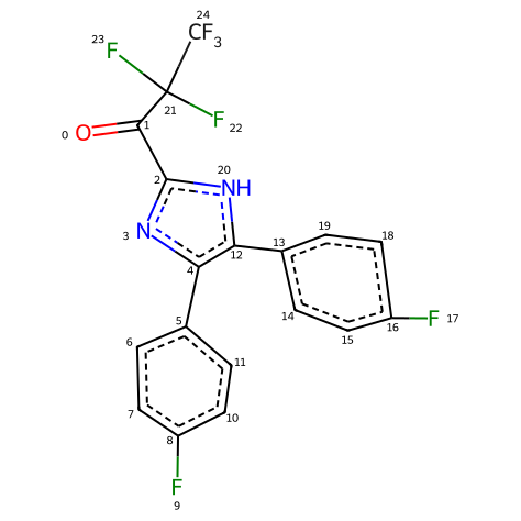 O=C(c1nc(-c2ccc(F)cc2)c(-c2ccc(F)cc2)[nH]1)C(F)(F)C(F)(F)F